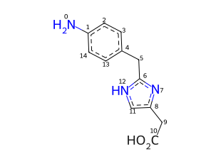 Nc1ccc(Cc2nc(CC(=O)O)c[nH]2)cc1